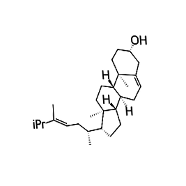 CC(=CC[C@@H](C)[C@H]1CC[C@H]2[C@@H]3CC=C4C[C@@H](O)CC[C@]4(C)[C@H]3CC[C@]12C)C(C)C